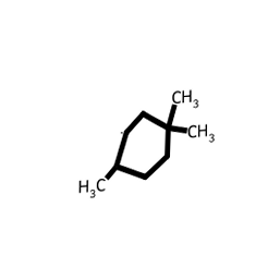 CC1[CH]CC(C)(C)CC1